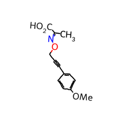 COc1ccc(C#CCON=C(C)C(=O)O)cc1